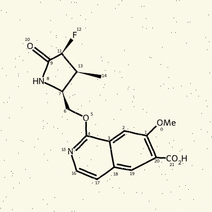 COc1cc2c(OC[C@H]3NC(=O)[C@@H](F)[C@H]3C)nccc2cc1C(=O)O